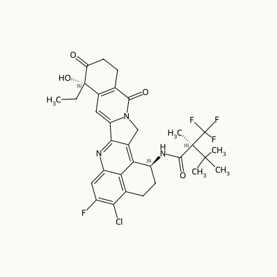 CC[C@@]1(O)C(=O)CCc2c1cc1n(c2=O)Cc2c-1nc1cc(F)c(Cl)c3c1c2[C@@H](NC(=O)[C@](C)(C(C)(C)C)C(F)(F)F)CC3